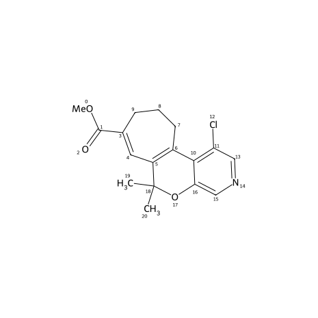 COC(=O)C1=CC2=C(CCC1)c1c(Cl)cncc1OC2(C)C